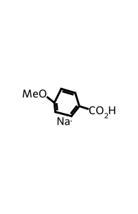 COc1ccc(C(=O)O)cc1.[Na]